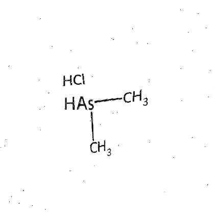 C[AsH]C.Cl